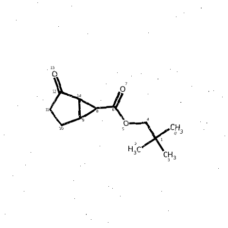 CC(C)(C)COC(=O)C1C2CCC(=O)C21